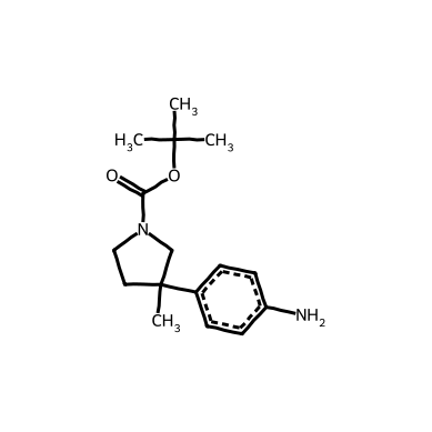 CC(C)(C)OC(=O)N1CCC(C)(c2ccc(N)cc2)C1